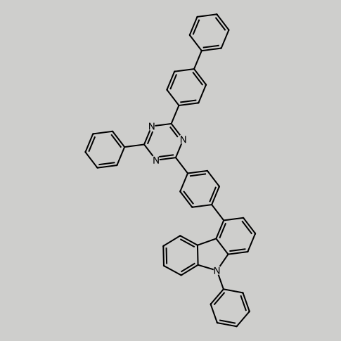 c1ccc(-c2ccc(-c3nc(-c4ccccc4)nc(-c4ccc(-c5cccc6c5c5ccccc5n6-c5ccccc5)cc4)n3)cc2)cc1